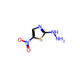 NNc1ncc([N+](=O)[O-])s1